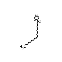 CCCCCCCC/C=C\CCCCCCCC(=O)c1nncs1